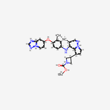 Cc1cc(Nc2c(C#N)cnn3ccc(C4CN(C(=O)OC(C)(C)C)C4)c23)ccc1Oc1ccn2ncnc2c1